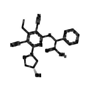 CCc1c(C#N)c(SC(C(N)=O)c2ccccc2)nc(N2C[C@H](O)CO2)c1C#N